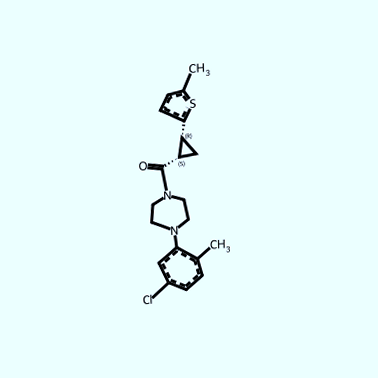 Cc1ccc([C@@H]2C[C@@H]2C(=O)N2CCN(c3cc(Cl)ccc3C)CC2)s1